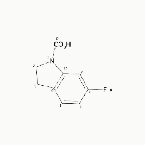 O=C(O)N1CCc2ccc(F)cc21